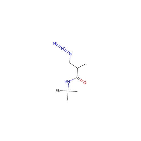 CCC(C)(C)NC(=O)C(C)CN=[N+]=[N-]